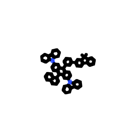 CC1(C)c2ccccc2-c2ccc(-c3cccc(-c4c5cc(-n6c7c(c8c6CCC=C8)CCC=C7)ccc5c(-c5cccc6ccccc56)c5cc(-n6c7c(c8ccccc86)CCC=C7)ccc45)c3)cc21